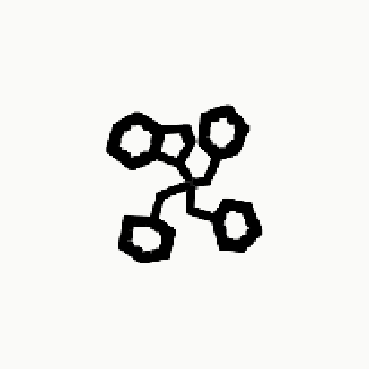 [C]1=Cc2ccccc2C1[Si](Cc1ccccc1)(Cc1ccccc1)Cc1ccccc1